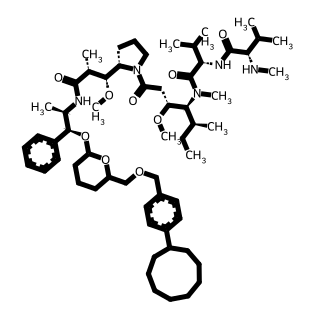 CC[C@H](C)[C@@H]([C@@H](CC(=O)N1CCC[C@H]1[C@H](OC)[C@@H](C)C(=O)N[C@H](C)[C@@H](OC1CCCC(COCc2ccc(C3CCCCCCCC3)cc2)O1)c1ccccc1)OC)N(C)C(=O)[C@@H](NC(=O)[C@@H](NC)C(C)C)C(C)C